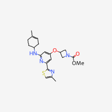 COC(=O)N1CC(Oc2cc(NC3CC=C(C)CC3)nc(-c3nc(C)cs3)c2)C1